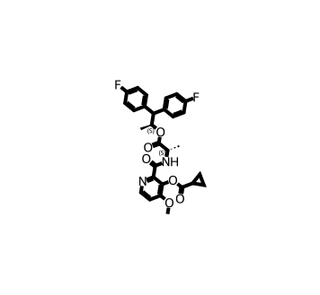 COc1ccnc(C(=O)N[C@@H](C)C(=O)O[C@@H](C)C(c2ccc(F)cc2)c2ccc(F)cc2)c1OC(=O)C1CC1